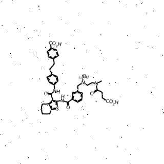 CC[C@H](C)N(CCN(C)C(=O)CCC(=O)O)Cc1cccc(C(=O)Nc2sc3c(c2C(=O)Nc2ccc(CCc4ccc(C(=O)O)cc4)cc2)CCCC3)c1